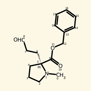 CN1CCC[C@@]1(CCC=O)C(=O)OCc1ccccc1